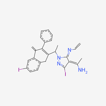 C=C/N=C1\C(=C(/C)N)C(I)=NN1C(C)C1=C(c2ccccc2)C(=C)c2cc(I)ccc2C1